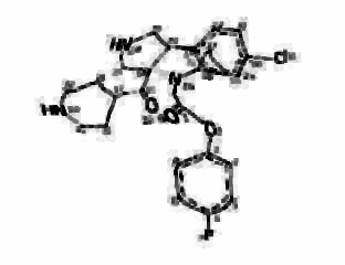 O=C(Oc1ccc(F)cc1)N(C1CC1)[C@]1(C(=O)C2CCNCC2)CNC[C@H]1c1ccc(Cl)cc1